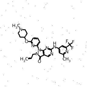 C=CCn1c(=O)c2cnc(Nc3cc(C)nc(C(F)(F)F)c3)nc2n1-c1cccc(OC2CCN(C)CC2)n1